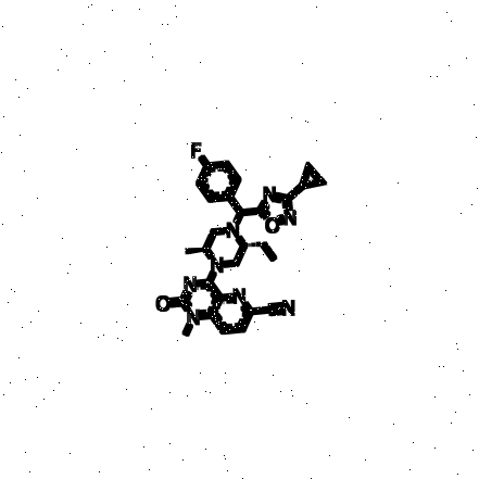 CC[C@@H]1CN(c2nc(=O)n(C)c3ccc(C#N)nc23)[C@@H](C)CN1C(c1ccc(F)cc1)c1nc(C2CC2)no1